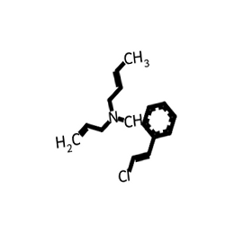 C=CCN(C)CC=CC.ClC=Cc1ccccc1